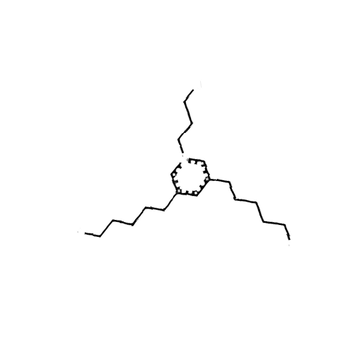 CCCCCCc1cc(CCCCCC)c[n+](CCCC)c1